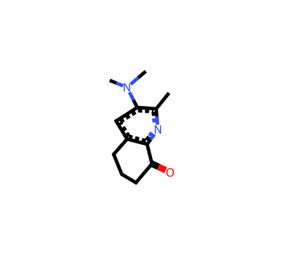 Cc1nc2c(cc1N(C)C)CCCC2=O